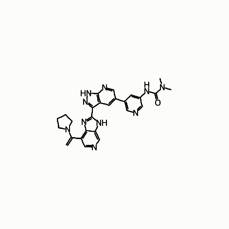 C=C(c1cncc2[nH]c(-c3n[nH]c4ncc(-c5cncc(NC(=O)N(C)C)c5)cc34)nc12)N1CCCC1